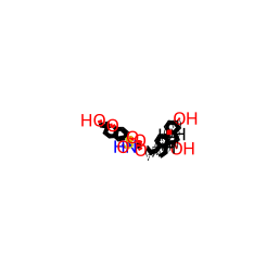 C[C@H](COC(=O)NS(=O)(=O)c1ccc2c(c1)CCC(C)(CO)O2)[C@H]1CC[C@H]2[C@@H]3[C@H](O)C[C@@H]4C[C@H](O)CC[C@]4(C)[C@H]3CC[C@]12C